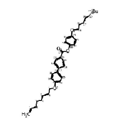 C=CCCCCCCOc1ccc(-c2ccc(C(=O)Oc3ccc(OCCCCC[C@@H](C)CC)cc3)cc2)cc1